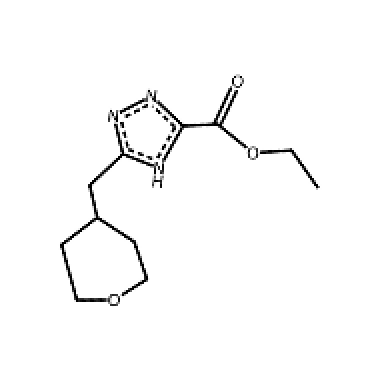 CCOC(=O)c1nnc(CC2CCOCC2)[nH]1